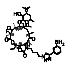 CC[C@H]1OC(=O)[C@@](C)(F)C(=O)[C@H](C)[C@@H](OC2OC(C)CC(N(C)C)C2O)[C@](C)(OC)C[C@@H](C)C(=O)[C@H](C)[C@H]2N(CCCCn3cc(-c4cccc(N)c4)nn3)C(=O)O[C@]12C